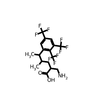 CC(CC(CN)C(=O)O)C(C)c1cc(C(F)(F)F)cc(C(F)(F)F)c1C(F)(F)F